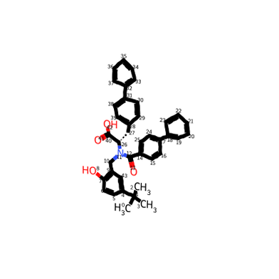 CC(C)(C)c1ccc(O)c(CN(C(=O)c2ccc(-c3ccccc3)cc2)[C@@H](Cc2ccc(-c3ccccc3)cc2)C(=O)O)c1